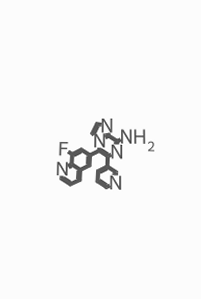 Nc1nc(-c2cccnc2)c(-c2cc(F)c3ncccc3c2)n2ccnc12